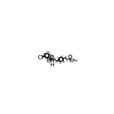 CCOC(=O)CCc1ccc(CCNS(=O)(=O)c2cccc(Cl)c2)cc1